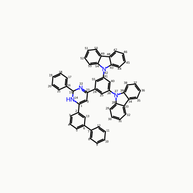 C1=C(c2cccc(-c3ccccc3)c2)NC(c2ccccc2)N=C1c1cc(-n2c3ccccc3c3ccccc32)cc(-n2c3ccccc3c3ccccc32)c1